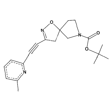 Cc1cccc(C#CC2=NOC3(CCN(C(=O)OC(C)(C)C)C3)C2)n1